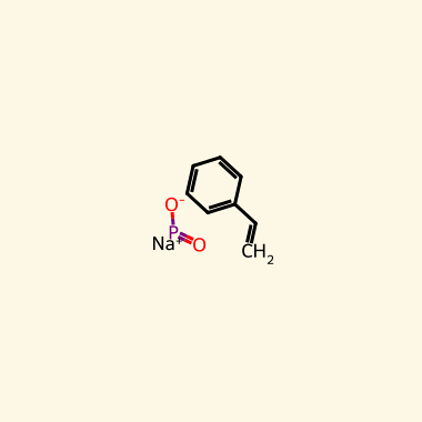 C=Cc1ccccc1.O=P[O-].[Na+]